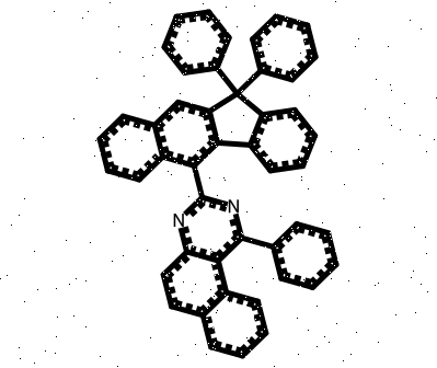 c1ccc(-c2nc(-c3c4c(cc5ccccc35)C(c3ccccc3)(c3ccccc3)c3ccccc3-4)nc3ccc4ccccc4c23)cc1